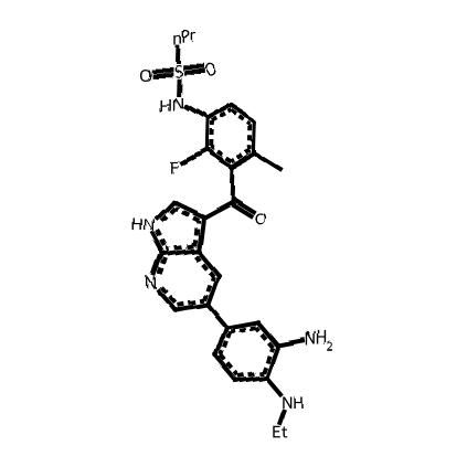 CCCS(=O)(=O)Nc1ccc(C)c(C(=O)c2c[nH]c3ncc(-c4ccc(NCC)c(N)c4)cc23)c1F